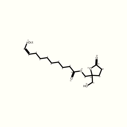 CCCCCCCC/C=C\CCCCCCCC(=O)OCC1(CO)CCC(=O)O1